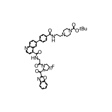 CC(C)(C)OC(=O)N1CCN(CCNC(=O)c2ccc(-c3ccc4nccc(C(=O)NCC(=O)N5C[C@@H](F)C[C@H]5C(=O)c5nc6ccccc6o5)c4c3)cc2)CC1